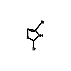 BrC1=CSC(Br)N1